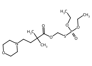 CCOP(=O)(OCC)SCOC(=O)C(C)(C)CCN1CCOCC1